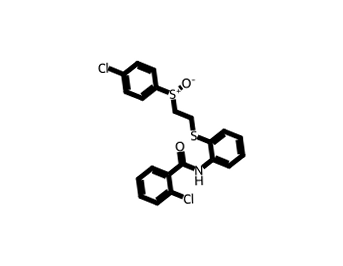 O=C(Nc1ccccc1SCC[S+]([O-])c1ccc(Cl)cc1)c1ccccc1Cl